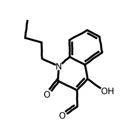 CCCCn1c(=O)c(C=O)c(O)c2ccccc21